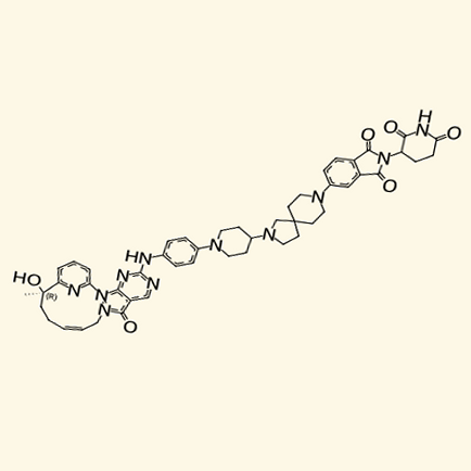 C[C@@]1(O)CCC=CCn2c(=O)c3cnc(Nc4ccc(N5CCC(N6CCC7(CCN(c8ccc9c(c8)C(=O)N(C8CCC(=O)NC8=O)C9=O)CC7)C6)CC5)cc4)nc3n2-c2cccc1n2